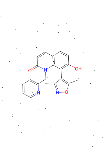 Cc1noc(C)c1-c1c(O)ccc2ccc(=O)n(Cc3ccccn3)c12